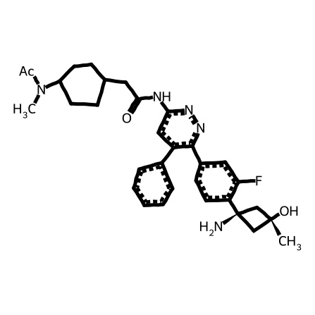 CC(=O)N(C)C1CCC(CC(=O)Nc2cc(-c3ccccc3)c(-c3ccc([C@]4(N)C[C@](C)(O)C4)c(F)c3)nn2)CC1